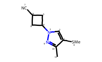 CSc1cn(C2CC(C#N)C2)nc1C